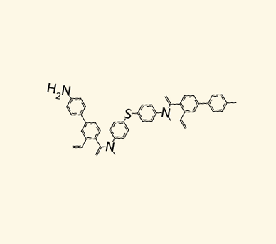 C=Cc1cc(-c2ccc(C)cc2)ccc1C(=C)N(C)c1ccc(Sc2ccc(N(C)C(=C)c3ccc(-c4ccc(N)cc4)cc3C=C)cc2)cc1